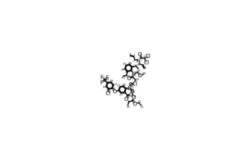 C=CCN(CC=C)C(=O)C(Cl)Cl.CCOC(=O)C(C)OC(=O)c1cc(Oc2ccc(C(F)(F)F)cc2Cl)ccc1[N+](=O)[O-].CCc1cccc(CC)c1N(COC)C(=O)CCl